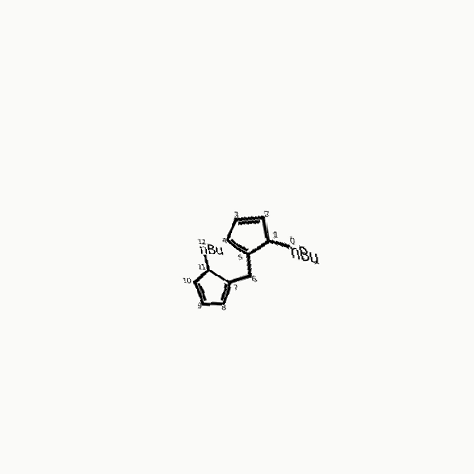 CCCCC1C=CC=C1CC1=CC=CC1CCCC